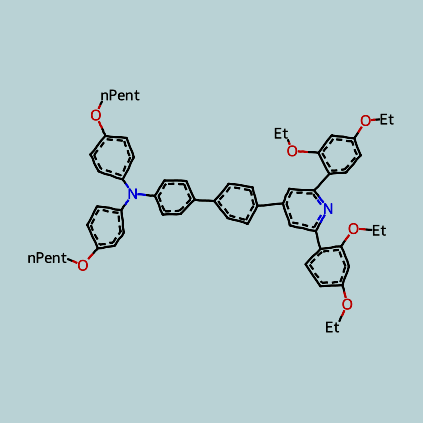 CCCCCOc1ccc(N(c2ccc(OCCCCC)cc2)c2ccc(-c3ccc(-c4cc(-c5ccc(OCC)cc5OCC)nc(-c5ccc(OCC)cc5OCC)c4)cc3)cc2)cc1